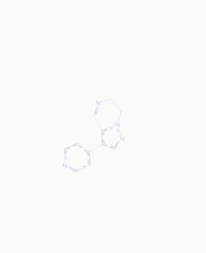 C1=NCCn2ncc(-c3ccncc3)c21